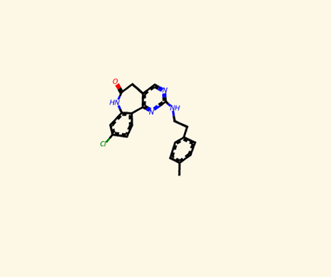 Cc1ccc(CCNc2ncc3c(n2)-c2ccc(Cl)cc2NC(=O)C3)cc1